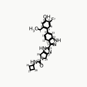 CCc1cc(O)c(F)cc1-c1ccc2c(-c3nc4c([nH]3)CN(C(=O)NC3CCC3)C4)n[nH]c2c1